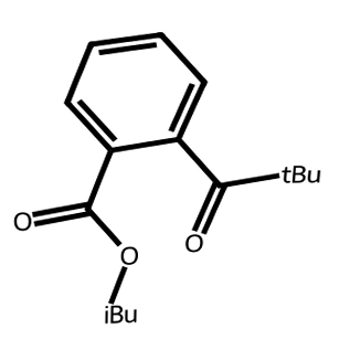 CCC(C)OC(=O)c1ccccc1C(=O)C(C)(C)C